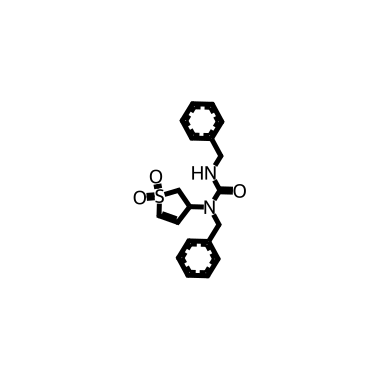 O=C(NCc1ccccc1)N(Cc1ccccc1)C1C=CS(=O)(=O)C1